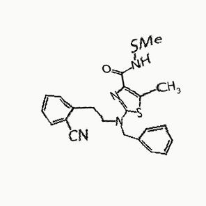 CSNC(=O)c1nc(N(CCc2ccccc2C#N)Cc2ccccc2)sc1C